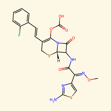 CON=C(C(=O)NC1C(=O)N2C(OC(=O)O)=C(C=Cc3ccccc3F)CS[C@@H]12)c1csc(N)n1